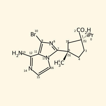 CC(C)[C@]1(C(=O)O)CC[C@](C)(c2nc(Br)c3c(N)nccn23)C1